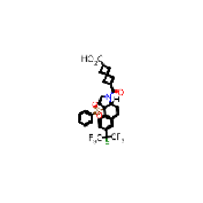 O=C(O)C1CC2(C1)CC(C(=O)N1CC[C@@]3(S(=O)(=O)c4ccccc4)c4ccc(C(F)(C(F)(F)F)C(F)(F)F)cc4CC[C@@H]13)C2